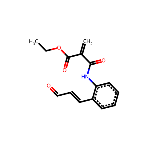 C=C(C(=O)Nc1ccccc1/C=C/[C]=O)C(=O)OCC